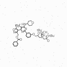 Cc1onc(COC(=O)c2ccccc2)c1-c1nc(-c2cccc(OCC(CNCC(=O)OC(C)(C)C)O[Si](C)(C)C(C)(C)C)c2)nc(NC2CCOCC2)c1C